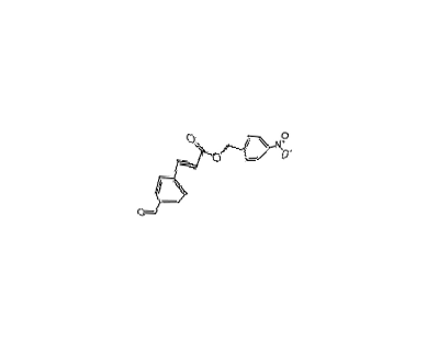 O=Cc1ccc(C=CC(=O)OCc2ccc([N+](=O)[O-])cc2)cc1